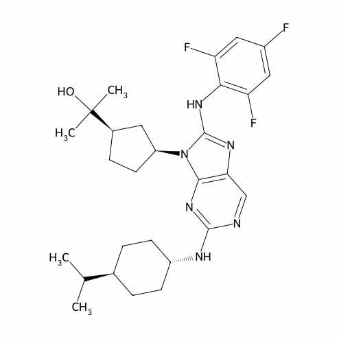 CC(C)[C@H]1CC[C@H](Nc2ncc3nc(Nc4c(F)cc(F)cc4F)n([C@H]4CC[C@@H](C(C)(C)O)C4)c3n2)CC1